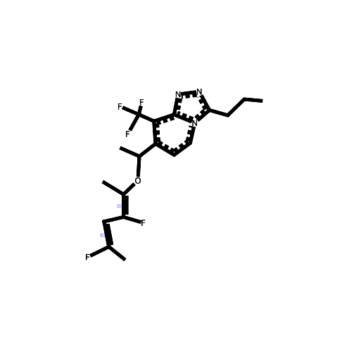 CCCc1nnc2c(C(F)(F)F)c(C(C)O/C(C)=C(F)/C=C(\C)F)ccn12